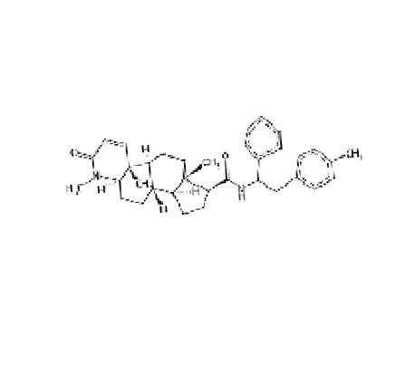 Cc1ccc(CC(NC(=O)[C@H]2CC[C@H]3[C@@H]4CC[C@H]5N(C)C(=O)C=C[C@]5(C)[C@H]4CC[C@]23C)c2ccccc2)cc1